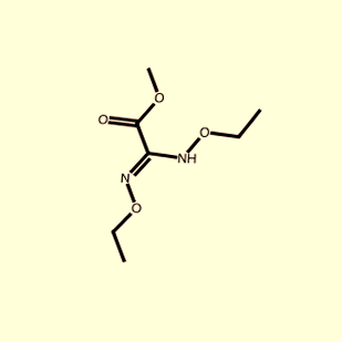 CCON=C(NOCC)C(=O)OC